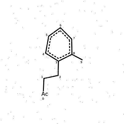 CC(=O)CCc1cc[c]cc1C